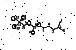 CC(C)CCCOC(=O)OCC(Cl)(Cl)Cl